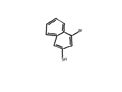 Sc1cc(Br)c2ccccc2c1